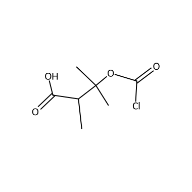 CC(C(=O)O)C(C)(C)OC(=O)Cl